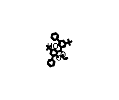 C=CC(=O)Oc1c(-c2ccccc2)cc(C(C)(C)C)cc1C(C)c1cc(C(C)(C)C)cc(-c2ccccc2)c1O